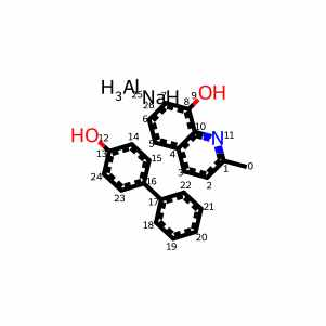 Cc1ccc2cccc(O)c2n1.Oc1ccc(-c2ccccc2)cc1.[AlH3].[NaH]